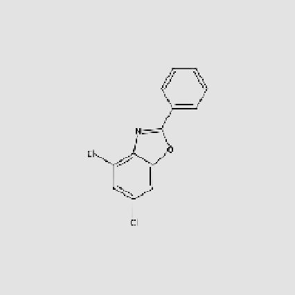 Clc1cc(Cl)c2nc(-c3ccccc3)oc2c1